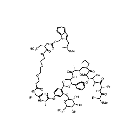 CC[C@H](C)[C@@H]([C@@H](CC(=O)N1CCC[C@H]1[C@H](OC)[C@@H](C)C(=O)N[C@H](C)[C@@H](OC(=O)c1ccc(NC(=O)[C@H](C)NC(=O)[C@@H](NC(=O)CCOCCOCCNC(=O)[C@H](CS(=O)(=O)O)NC(=O)CCn2c(CN(C)NC)cc3cccnc32)C(C)C)cc1O[C@@H]1O[C@H](C(=O)O)[C@@H](O)[C@H](O)[C@H]1O)c1ccccc1)OC)N(C)C(=O)[C@@H](NC(=O)[C@@H](NC)C(C)C)C(C)C